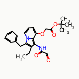 CCc1c(NC(=O)C=O)c2c(OCC(=O)OC(C)(C)C)cccn2c1Cc1ccccc1